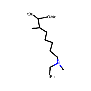 COC(C(C)CCCCCN(C)CC(C)(C)C)C(C)(C)C